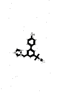 [C-]#[N+]C(C)(C)c1cc(Cn2cncn2)cc(-c2ccc(O)cc2)c1